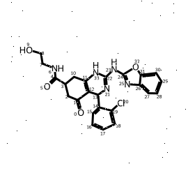 O=C1CC(C(=O)NCCO)CC2=C1C(c1ccccc1Cl)N=C(Nc1nc3ccccc3o1)N2